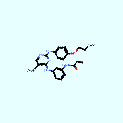 C=CC(=O)Nc1cccc(Nc2nc(Nc3ccc(OCCOC)cc3)ncc2SC)c1